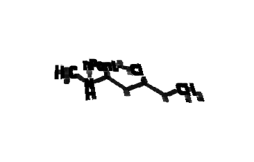 CCCCCCl.CCCCCNC